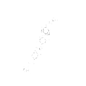 CCCCCc1ccc(COc2ccc(-c3ncc(CCC)cn3)cc2)cc1